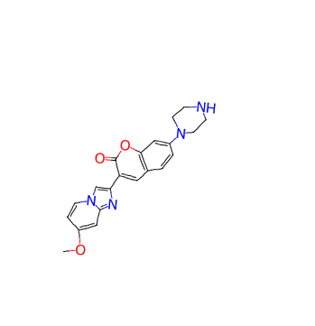 COc1ccn2cc(-c3cc4ccc(N5CCNCC5)cc4oc3=O)nc2c1